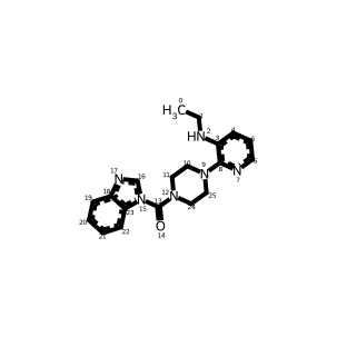 CCNc1cccnc1N1CCN(C(=O)n2cnc3ccccc32)CC1